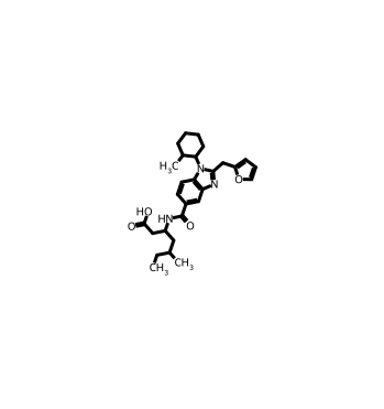 CCC(C)CC(CC(=O)O)NC(=O)c1ccc2c(c1)nc(Cc1ccco1)n2C1CCCCC1C